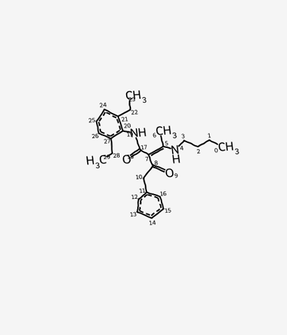 CCCCNC(C)=C(C(=O)Cc1ccccc1)C(=O)Nc1c(CC)cccc1CC